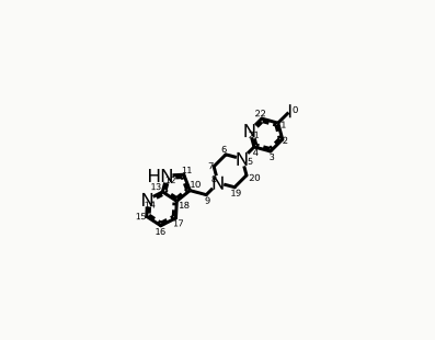 Ic1ccc(N2CCN(Cc3c[nH]c4ncccc34)CC2)nc1